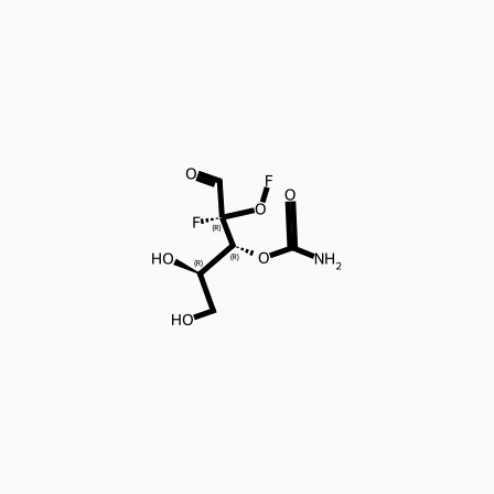 NC(=O)O[C@H]([C@H](O)CO)[C@@](F)(C=O)OF